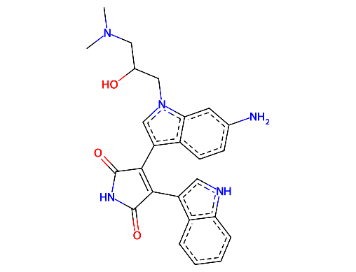 CN(C)CC(O)Cn1cc(C2=C(c3c[nH]c4ccccc34)C(=O)NC2=O)c2ccc(N)cc21